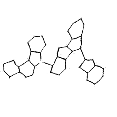 C1CCC2CC(C3CC4CCCCC4C4CC5C(CCCC5N5C6CCCCC6C6C7CCCCC7CCC65)C34)CC2C1